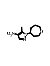 Cc1c([N+](=O)[O-])cnn1C1CCCOCC1